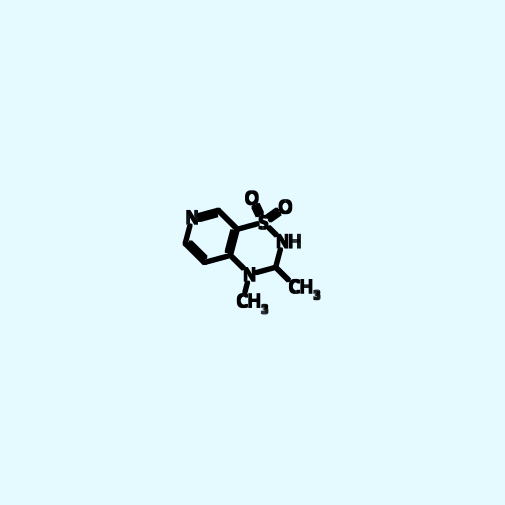 CC1NS(=O)(=O)c2cnccc2N1C